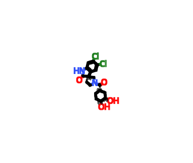 O=C([C@H]1CC[C@@H](O)[C@H](O)C1)N1CC[C@]2(C1)C(=O)Nc1cc(Cl)c(Cl)cc12